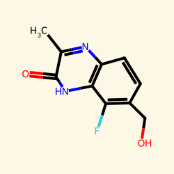 Cc1nc2ccc(CO)c(F)c2[nH]c1=O